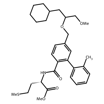 COCC(CC1CCCCC1)OCc1ccc(C(=O)N[C@@H](CCSC)C(=O)OC)c(-c2ccccc2C)c1